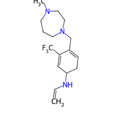 C=CNC1C=C(C(F)(F)F)C(CN2CCCN(C)CC2)=CC1